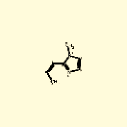 C/C=C\c1nccn1C